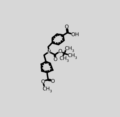 COC(=O)c1ccc(CN(Cc2ccc(C(=O)O)cc2)C(=O)OC(C)(C)C)cc1